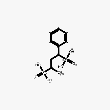 CC(CC(c1ccccc1)P(=O)(O)O)P(=O)(O)O